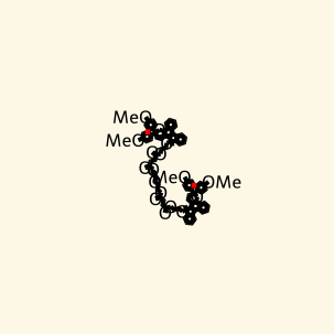 COc1ccc(C2(c3ccc(OC)cc3)C=Cc3c4c(c5ccccc5c3O2)-c2ccccc2C4(C)OCCOC(=O)CCC(=O)OCCOCCOC(=O)CCC(=O)OCCOC2(C)c3ccccc3-c3c2c2c(c4ccccc34)OC(c3ccc(OC)cc3)(c3ccc(OC)cc3)C=C2)cc1